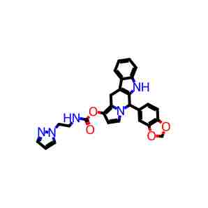 O=C(NCCn1cccn1)Oc1ccn2c1Cc1c([nH]c3ccccc13)C2c1ccc2c(c1)OCO2